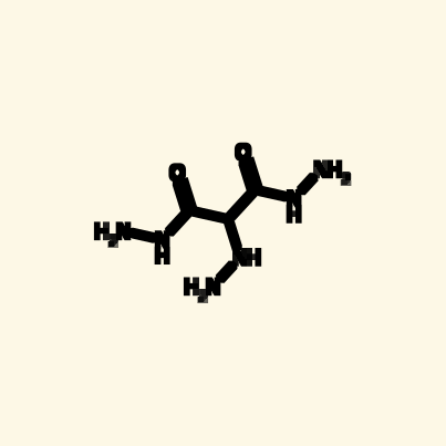 NNC(=O)C(NN)C(=O)NN